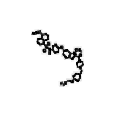 CC(=O)Nc1cccc2c(S(=O)(=O)Nc3ccc(Oc4ccc5cc(C(=O)N6CCN(Cc7ccc(OCC(F)(F)F)cc7)CC6)n(C)c5c4)nc3)cccc12